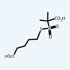 CCCCCCCCCCCCSS(=O)(=O)C(C)(C)C(=O)O